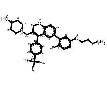 CCCCOc1ccc(F)c(-c2ccc3c(c2)C(c2ccc(C(F)(F)F)cc2)=C(CN2CCC(O)CC2)CO3)c1